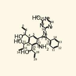 C=CC(O)c1cc(C2=C(c3ccccc3)N2c2ncnc(O)n2)c(N)c(C(O)C=C)c1C(O)C=C